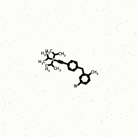 Cc1ccc(Br)cc1Cc1ccc(C#C[Si](C(C)C)(C(C)C)C(C)C)cc1